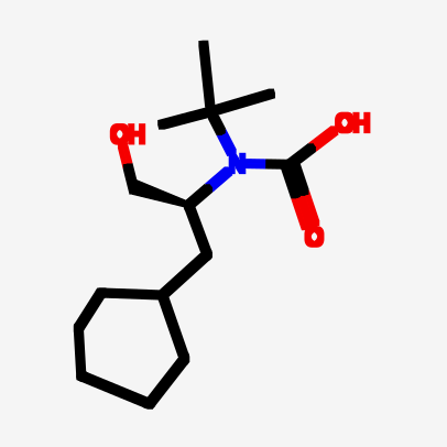 CC(C)(C)N(C(=O)O)[C@H](CO)CC1CCCCC1